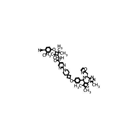 Cc1sc2c(c1C)C(c1ccc(OC3CC4(CCN(c5ncc(C(=O)NC6C(C)(C)C(Oc7ccc(C#N)c(Cl)c7)C6(C)C)cn5)CC4)C3)cc1)=N[C@@H](Cc1ncco1)c1nnc(C)n1-2